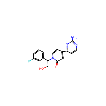 Nc1nccc(-c2ccn(C(CO)c3cccc(F)c3)c(=O)c2)n1